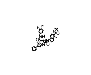 Cc1c(C(=O)OC(C)(C)C)ccc2c1CC[C@@H]2NC(=O)c1cc(C(=O)NCc2ccc(F)c(F)c2)n2nc(-c3ccccc3)cc2n1